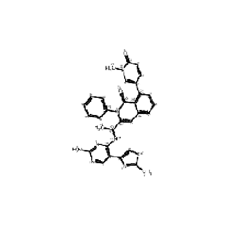 Cc1nc(-c2cnc(N)nc2N[C@@H](C)c2cc3cccc(-c4ccc(=O)n(C)c4)c3c(=O)n2-c2ccccc2)cs1